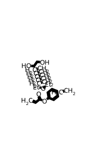 C=C.C=C.C=C.C=C.C=C.C=C.C=CC(=O)Oc1ccccc1.CCOCC.OCCO